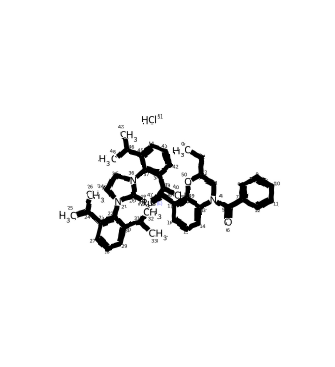 CCC1CN(C(=O)c2ccccc2)c2cccc(/[CH]=[Ru]/[CH]3N(c4c(C(C)C)cccc4C(C)C)CCN3c3c(C(C)C)cccc3C(C)C)c2O1.Cl